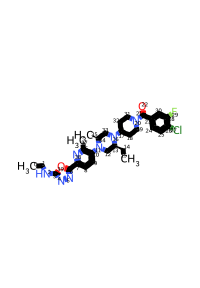 CCNc1nnc(-c2ccc(N3C[C@H](CC)N(C4CCN(C(=O)c5ccc(Cl)c(F)c5)CC4)C[C@H]3C)c(C)n2)o1